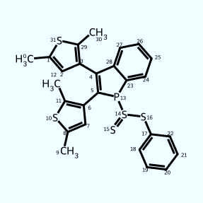 Cc1cc(-c2c(-c3cc(C)sc3C)p(S(=S)Sc3ccccc3)c3ccccc23)c(C)s1